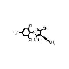 CC#Cc1c(C#N)nn(-c2c(Cl)cc(C(F)(F)F)cc2Cl)c1N